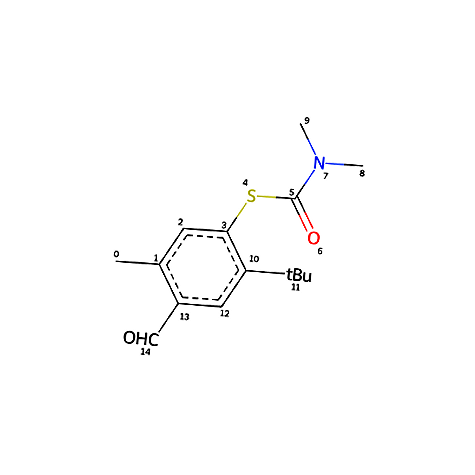 Cc1cc(SC(=O)N(C)C)c(C(C)(C)C)cc1C=O